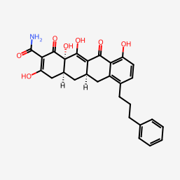 NC(=O)C1=C(O)C[C@@H]2C[C@@H]3Cc4c(CCCc5ccccc5)ccc(O)c4C(=O)C3=C(O)[C@]2(O)C1=O